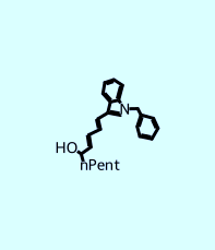 CCCCCC(O)C=CC=Cc1cn(Cc2ccccc2)c2ccccc12